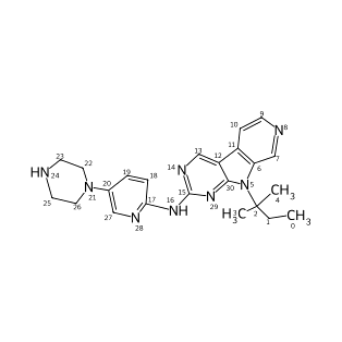 CCC(C)(C)n1c2cnccc2c2cnc(Nc3ccc(N4CCNCC4)cn3)nc21